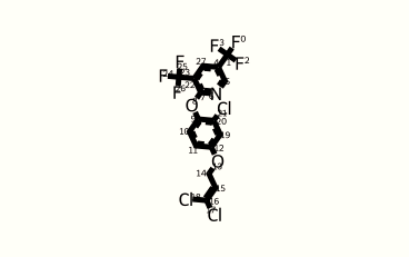 FC(F)(F)c1cnc(Oc2ccc(OCC=C(Cl)Cl)cc2Cl)c(C(F)(F)F)c1